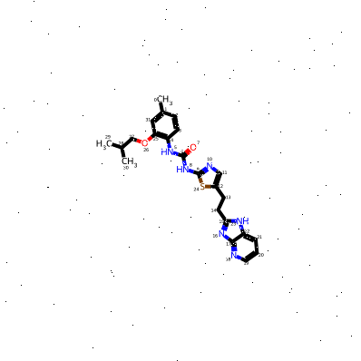 Cc1ccc(NC(=O)Nc2ncc(CCc3nc4ncccc4[nH]3)s2)c(OCC(C)C)c1